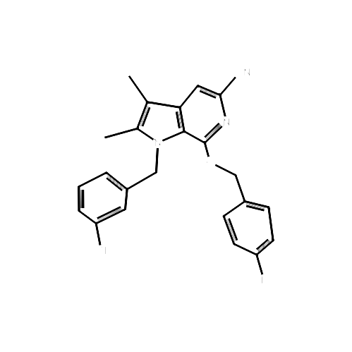 Cc1c(C)n(Cc2cccc(Cl)c2)c2c(OCc3ccc(F)cc3)nc(C#N)cc12